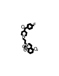 COc1cccc2c1C=CN(CCCN1CCC(C(=O)c3ccc(F)cc3)CC1)S2(=O)=O